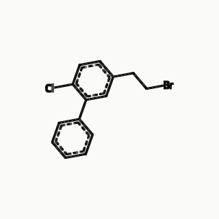 Clc1ccc(CCBr)cc1-c1ccccc1